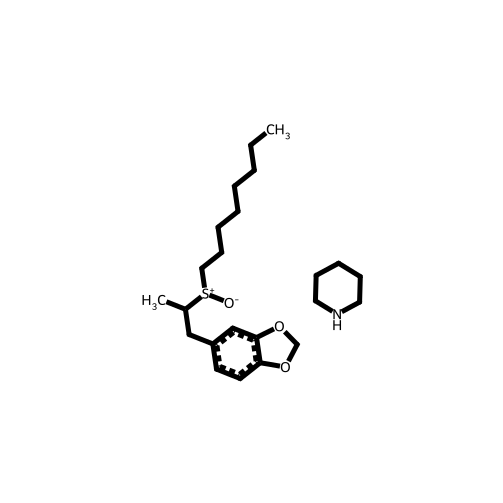 C1CCNCC1.CCCCCCCC[S+]([O-])C(C)Cc1ccc2c(c1)OCO2